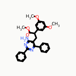 COC(=O)C(Cc1c(N)nc(-c2ccccc2)nc1-c1ccccc1)c1cc(OC)cc(OC)c1